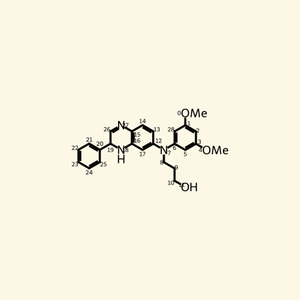 COc1cc(OC)cc(N(CCCO)c2ccc3c(c2)NC(c2ccccc2)C=N3)c1